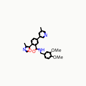 COc1ccc(CNC(=O)c2cc(-c3cncc(C)c3)ccc2-c2ocnc2C)cc1OC